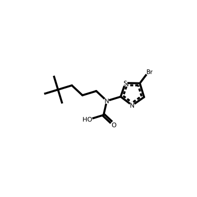 CC(C)(C)CCCN(C(=O)O)c1ncc(Br)s1